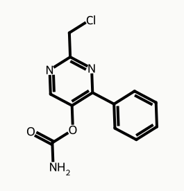 NC(=O)Oc1cnc(CCl)nc1-c1ccccc1